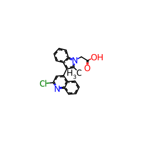 Cc1c(-c2cc(Cl)nc3ccccc23)c2ccccc2n1CC(=O)O